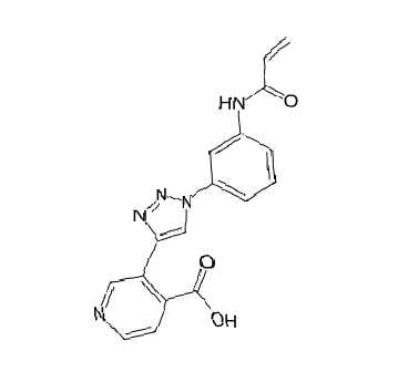 C=CC(=O)Nc1cccc(-n2cc(-c3cnccc3C(=O)O)nn2)c1